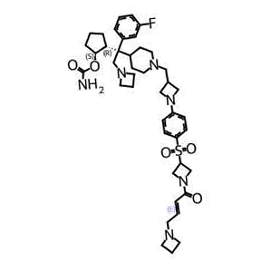 NC(=O)O[C@H]1CCC[C@@H]1C(CN1CCC1)(c1cccc(F)c1)C1CCN(CC2CN(c3ccc(S(=O)(=O)C4CN(C(=O)/C=C/CN5CCC5)C4)cc3)C2)CC1